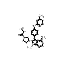 Cc1ccnc(Oc2ccc(-c3c([C@@H]4CCN(C(=O)CCl)C4)n(C)c4ncnc(N)c34)cc2)n1